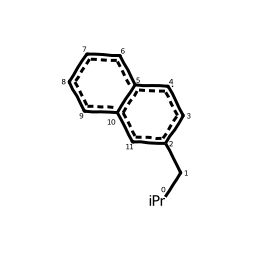 CC(C)Cc1c[c]c2ccccc2c1